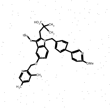 COc1ccc(-c2ccc(Cn3c(CC(C)(C)C(=O)O)c(SC(C)(C)C)c4cc(OCc5ncc(C)cc5C)ccc43)cc2)cn1